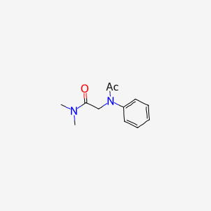 CC(=O)N(CC(=O)N(C)C)c1ccccc1